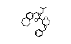 CC(C)CN(Cc1ccc2c(c1)CCCCC2)C(=O)C1CN(Cc2ccccc2)CCO1